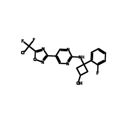 OC1CC(Nc2ncc(-c3noc(C(F)(F)Cl)n3)cn2)(c2ccccc2F)C1